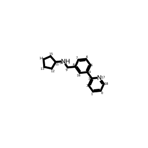 c1ccc(-c2cccc(CNC3CCCC3)c2)nc1